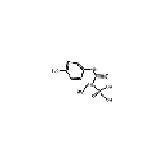 CC(C)C[SH](C(=O)Nc1ccc(C(F)(F)F)cc1)P(=O)(O)O